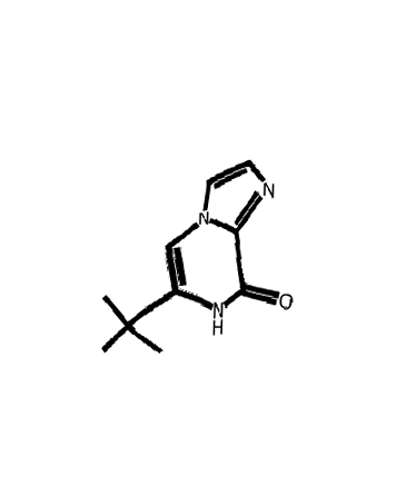 CC(C)(C)c1cn2ccnc2c(=O)[nH]1